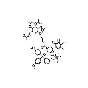 COc1ccc(C(OC[C@]2(CO[Si](C(C)C)(C(C)C)C(C)C)CN(C(=O)CCCCO[C@@H]3O[C@H](COC(C)=O)[C@H](OC(C)=O)[C@H](OC(C)=O)[C@H]3NC(C)=O)C[C@H](n3cc(C)c(=O)[nH]c3=O)O2)(c2ccccc2)c2ccc(OC)cc2)cc1